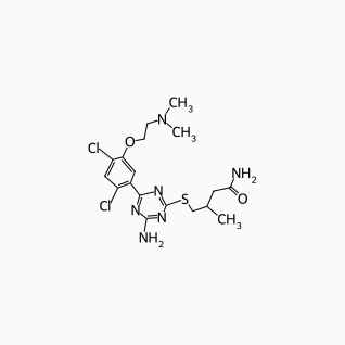 CC(CSc1nc(N)nc(-c2cc(OCCN(C)C)c(Cl)cc2Cl)n1)CC(N)=O